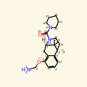 CC1(C)[C@H]2Cc3c(OCN)cccc3[C@]1(C)CCN2C(=O)N1CCCCC1